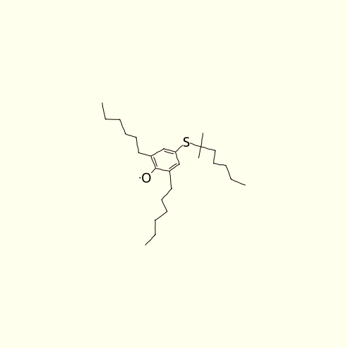 CCCCCCc1cc(SC(C)(C)CCCCC)cc(CCCCCC)c1[O]